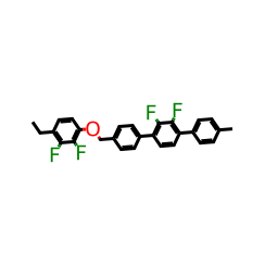 CCc1ccc(OCc2ccc(-c3ccc(-c4ccc(C)cc4)c(F)c3F)cc2)c(F)c1F